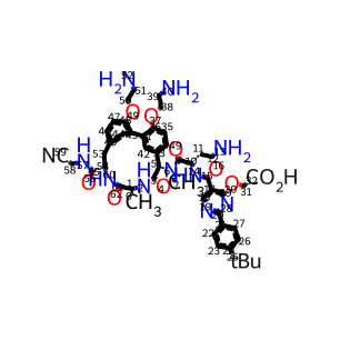 C[C@@H]1NC(=O)[C@@H](N(C)C(=O)[C@H](CCN)NC(=O)c2cnc(-c3ccc(C(C)(C)C)cc3)nc2OCC(=O)O)c2ccc(OCCN)c(c2)-c2cc(ccc2OCCN)C[C@@H](C(=O)NCC#N)NC1=O